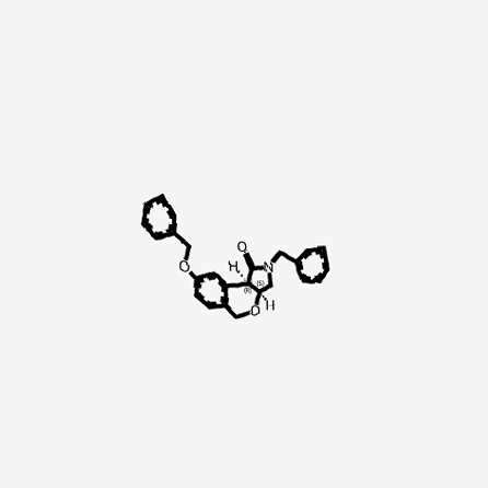 O=C1[C@@H]2c3cc(OCc4ccccc4)ccc3CO[C@@H]2CN1Cc1ccccc1